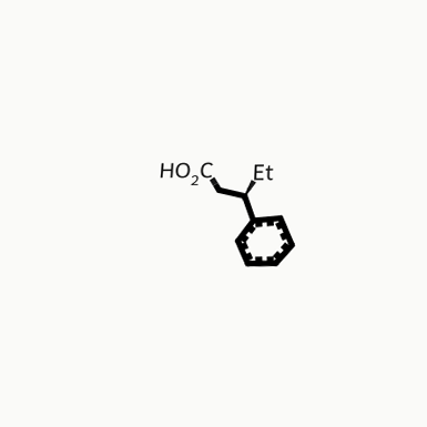 CC[C@H](CC(=O)O)c1ccccc1